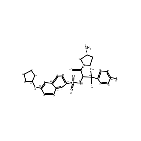 N[C@@H]1CCN(C(=O)C(NS(=O)(=O)c2ccc3cc(OC4CCCC4)ccc3c2)C(F)(F)c2ccc(Br)cc2)C1